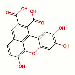 O=C(O)c1cc2ccc(O)c3c2c(c1C(=O)O)-c1cc(O)c(O)cc1O3